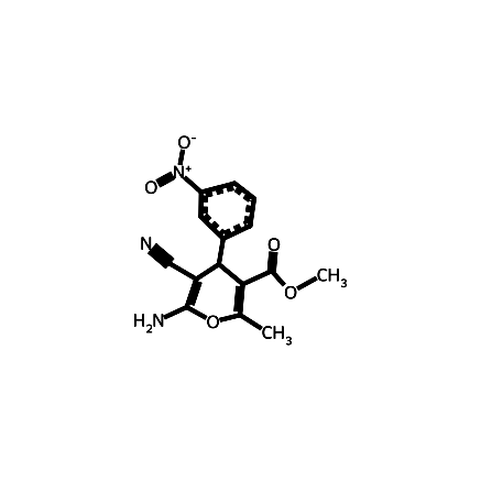 COC(=O)C1=C(C)OC(N)=C(C#N)C1c1cccc([N+](=O)[O-])c1